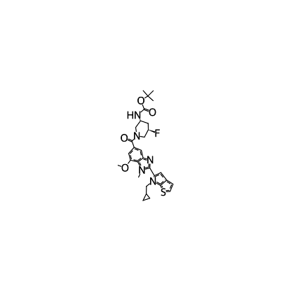 COc1cc(C(=O)N2C[C@H](F)C[C@@H](NC(=O)OC(C)(C)C)C2)cc2nc(-c3cc4ccsc4n3CC3CC3)n(C)c12